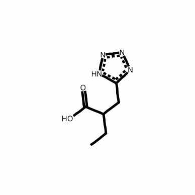 CCC(Cc1nnn[nH]1)C(=O)O